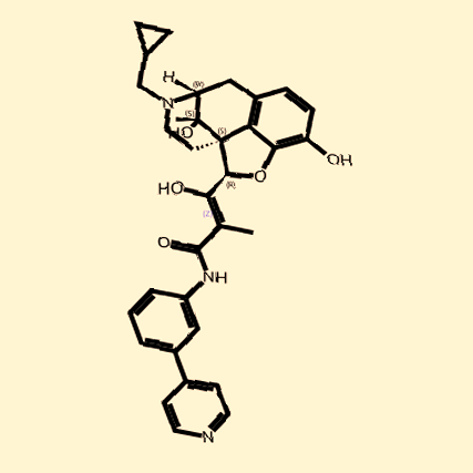 C/C(C(=O)Nc1cccc(-c2ccncc2)c1)=C(/O)[C@@H]1Oc2c(O)ccc3c2[C@@]12CCN(CC1CC1)[C@H](C3)[C@@]2(C)O